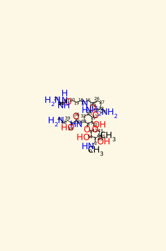 CNCC1[C@@H](O)[C@@H](O[C@@H]2[C@@H](O)[C@H](O[C@H]3OC(CNCCCONC(=N)N)=CC[C@H]3N)[C@@H](N)C[C@H]2NC(=O)[C@@H](O)CCN)OC[C@]1(C)O